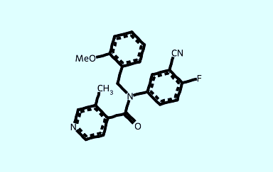 COc1ccccc1CN(C(=O)c1ccncc1C)c1ccc(F)c(C#N)c1